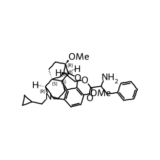 COc1ccc2c3c1O[C@H]1[C@@]4(OC)CC[C@@]5(C[C@@H]4COC(=O)C(N)Cc4ccccc4)[C@@H](C2)N(CC2CC2)CC[C@]315